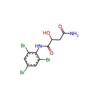 NC(=O)CC(O)C(=O)Nc1c(Br)cc(Br)cc1Br